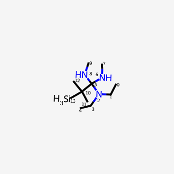 CCN(CC)C(NC)(NC)C(C)(C)[SiH3]